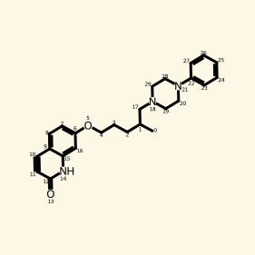 CC(CCCOc1ccc2c#cc(=O)[nH]c2c1)CN1CCN(c2ccccc2)CC1